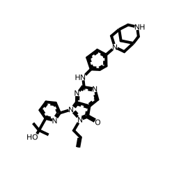 C=CCn1c(=O)c2cnc(Nc3ccc(N4CC5CNCC(C5)C4)cc3)nc2n1-c1cccc(C(C)(C)O)n1